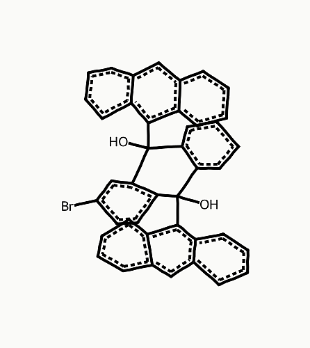 OC1(c2c3ccccc3cc3ccccc23)c2ccccc2C(O)(c2c3ccccc3cc3ccccc23)c2cc(Br)ccc21